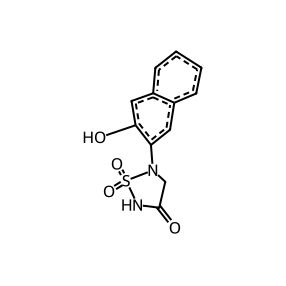 O=C1CN(c2cc3ccccc3cc2O)S(=O)(=O)N1